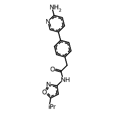 CC(C)c1cc(NC(=O)Cc2ccc(-c3ccc(N)nc3)cc2)no1